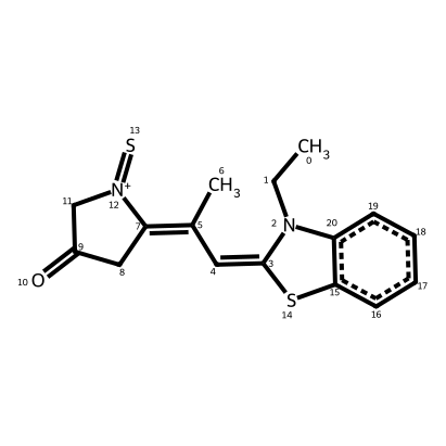 CCN1C(=CC(C)=C2CC(=O)C[N+]2=S)Sc2ccccc21